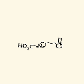 O=C(O)CCN1CCC(CCCC2CCCCN2)CC1